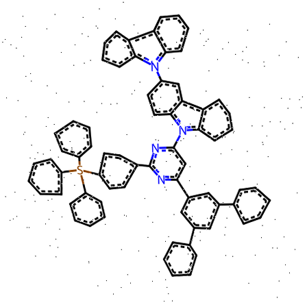 c1ccc(-c2cc(-c3ccccc3)cc(-c3cc(-n4c5ccccc5c5cc(-n6c7ccccc7c7ccccc76)ccc54)nc(-c4ccc(S(c5ccccc5)(c5ccccc5)c5ccccc5)cc4)n3)c2)cc1